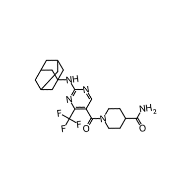 NC(=O)C1CCN(C(=O)c2cnc(NC34CC5CC(CC(C5)C3)C4)nc2C(F)(F)F)CC1